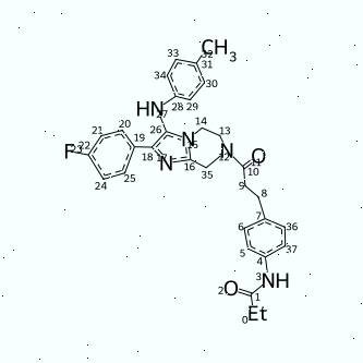 CCC(=O)Nc1ccc(CCC(=O)N2CCn3c(nc(-c4ccc(F)cc4)c3Nc3ccc(C)cc3)C2)cc1